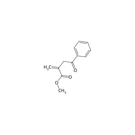 C=C(CC(=O)c1ccccc1)C(=O)OC